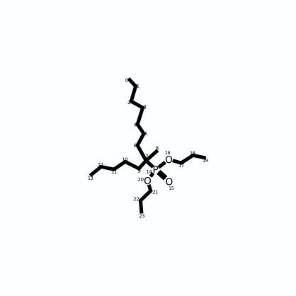 CCCCCCCC(C)(CCCCC)P(=O)(OCCC)OCCC